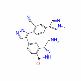 Cn1cc(-c2ccc(-c3c(-c4ccc5c(=O)[nH]nc(CN)c5c4)cnn3C)c(C#N)c2)cn1